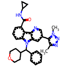 Cc1nnn(C)c1-c1cnc2c3c(C(=O)NC4CC4)cccc3n(C(c3ccccc3)C3CCOCC3)c2c1